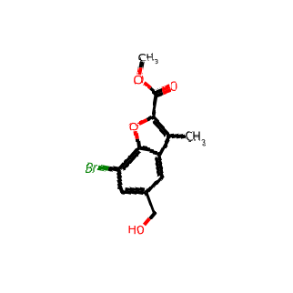 COC(=O)c1oc2c(Br)cc(CO)cc2c1C